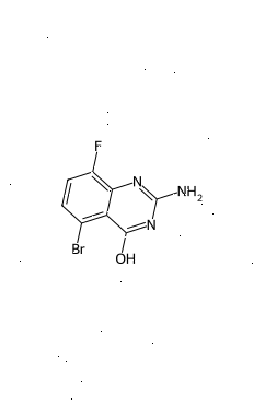 Nc1nc(O)c2c(Br)ccc(F)c2n1